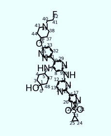 CC1(O)CCC(Nc2cc(Nc3ccnc(-c4cnn(S(=O)(=O)C5CC5)c4)n3)ncc2-c2ccc(OC3CCN(CCF)CC3)nn2)CC1